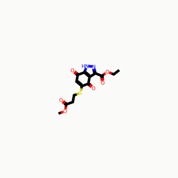 CCOC(=O)c1n[nH]c2c1C(=O)C(SCCC(=O)OC)=CC2=O